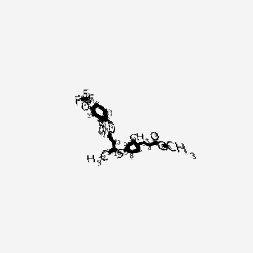 COC(=O)CCc1ccc(SC(C)CCOc2ccc(OC(F)(F)F)cc2Br)cc1C